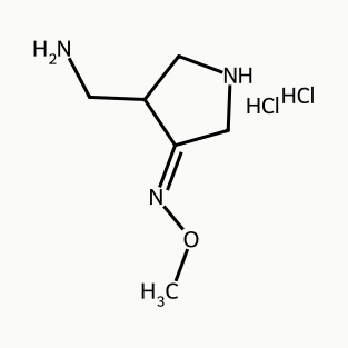 CON=C1CNCC1CN.Cl.Cl